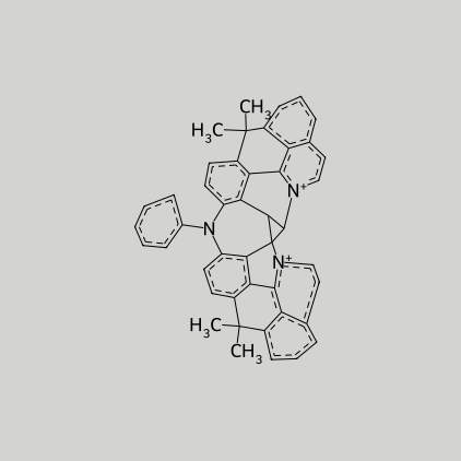 CC1(C)c2ccc3c4c2-c2c5c1cccc5cc[n+]2C1C4C12c1c(ccc4c1-c1c5c(cccc5cc[n+]12)C4(C)C)N3c1ccccc1